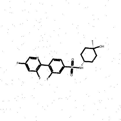 C[C@]1(O)CC[C@H](NS(=O)(=O)c2ccc(-c3ncc(F)cc3F)c(F)c2)CC1